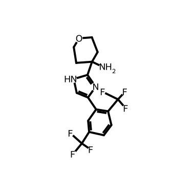 NC1(c2nc(-c3cc(C(F)(F)F)ccc3C(F)(F)F)c[nH]2)CCOCC1